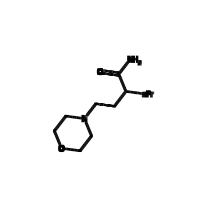 CCCC(CCN1CCOCC1)C(N)=O